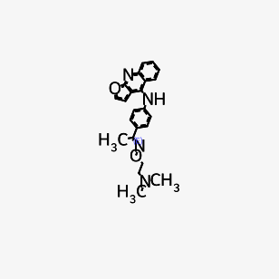 C/C(=N\OCCN(C)C)c1ccc(Nc2c3ccccc3nc3occc23)cc1